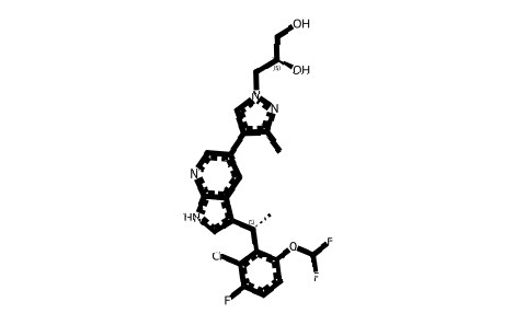 Cc1nn(C[C@H](O)CO)cc1-c1cnc2[nH]cc([C@H](C)c3c(OC(F)F)ccc(F)c3Cl)c2c1